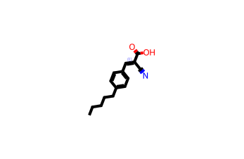 CCCCCc1ccc(/C=C(\C#N)C(=O)O)cc1